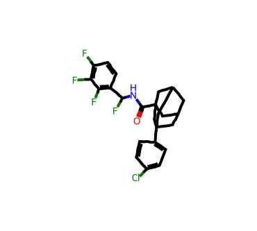 O=C(NC(F)c1ccc(F)c(F)c1F)C12CC3CC(C1)CC(c1ccc(Cl)cc1)(C3)C2